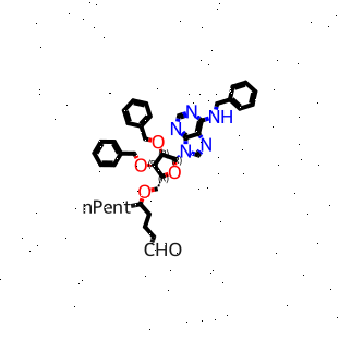 CCCCCC(CCCC=O)OC[C@H]1O[C@@H](n2cnc3c(NCc4ccccc4)ncnc32)[C@H](OCc2ccccc2)[C@@H]1OCc1ccccc1